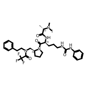 C[C@@H](C(=O)N[C@@H](CCCNC(=O)Nc1ccccc1)C(=O)N1CCC[C@H]1CN(CCc1ccccc1)C(=O)C(F)(F)F)N(C)I